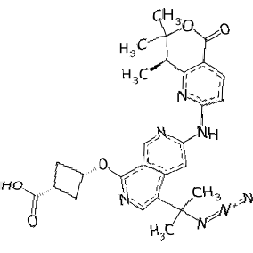 C[C@@H]1c2nc(Nc3cc4c(C(C)(C)N=[N+]=[N-])cnc(O[C@H]5C[C@@H](C(=O)O)C5)c4cn3)ccc2C(=O)OC1(C)C